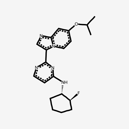 CC(C)Oc1ccn2c(-c3nccc(N[C@H]4CCCC[C@@H]4F)n3)cnc2c1